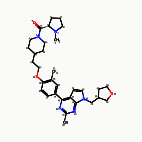 CN1CCC[C@H]1C(=O)N1CCC(CCOc2ccc(-c3nc(C#N)nc4c3ccn4CC3CCOC3)cc2C(F)(F)F)CC1